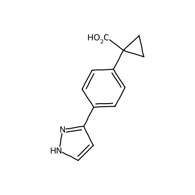 O=C(O)C1(c2ccc(-c3cc[nH]n3)cc2)CC1